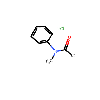 CCC(=O)N(c1ccccc1)C(F)(F)F.Cl